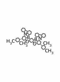 Cc1ccc(-c2cc3c4c(c2)-n2c5ccccc5c5cccc(c52)B4c2cc4c(cc2O3)Oc2cc(-c3ccc(C)cc3C)cc3c2B4c2cccc4c5ccccc5n-3c24)c(C)c1